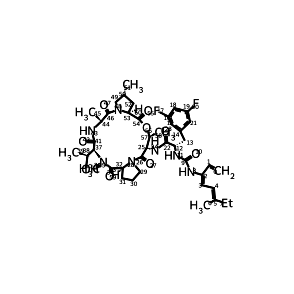 C=C/C(=C\C=C(/C)CC)NC(=O)N[C@@H](Cc1cc(F)cc(F)c1)C(=O)N[C@@H]1C(=O)N2CCC[C@H]2C(=O)N(C)[C@@H]([C@H](C)O)C(=O)N[C@@H](C)C(=O)N2C[C@H](C)C[C@H]2C(=O)O[C@H]1C